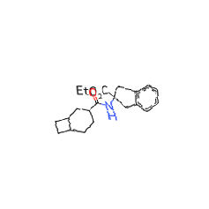 CCOC(=O)C1(NC(=O)C2CCC3CCC3C2)Cc2ccccc2C1